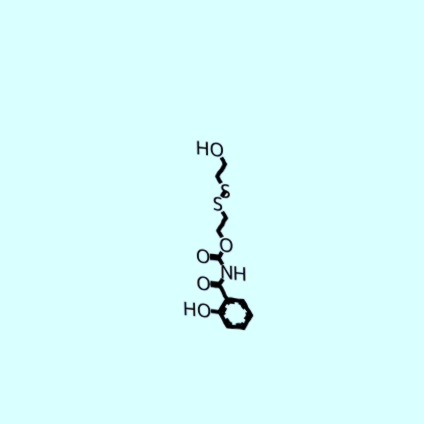 O=C(NC(=O)c1ccccc1O)OCCSSCCO